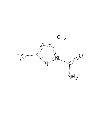 C.NC(=O)n1ccc(C(F)(F)F)n1